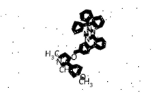 COc1ccc(-c2c(OCc3ccc(-c4ccccc4-c4nnn(C(c5ccccc5)(c5ccccc5)c5ccccc5)n4)cc3)cc(C)nc2C)cc1